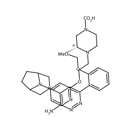 COCOc1ccccc1-c1cc(N2CC3CCC(C2)N3c2ccnc(OCCN3CCN(C(=O)O)C[C@H]3C)c2)c(N)nn1